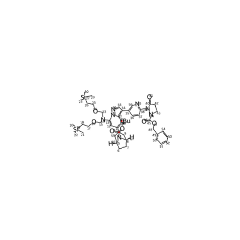 CC(C)(C)OC(=O)N1[C@@H]2CC[C@H]1C[C@@H](c1cc(N(COCC[Si](C)(C)C)COCC[Si](C)(C)C)n3ncc(-c4ccc(N5C(=O)CCN5C(=O)OCc5ccccc5)nc4)c3n1)C2